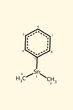 [CH3][Sn]([CH3])[c]1ccccc1